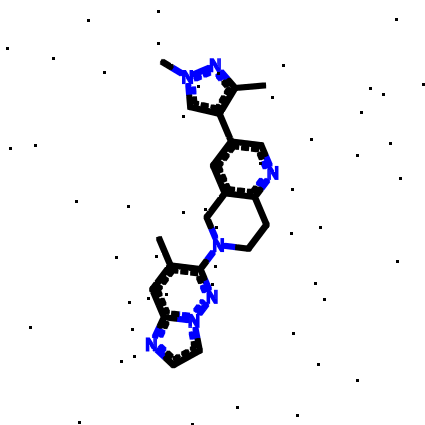 Cc1cc2nccn2nc1N1CCc2ncc(-c3cn(C)nc3C)cc2C1